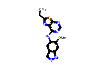 COCc1nc2c(Nc3cc4cn[nH]c4cc3OC)ncnc2s1